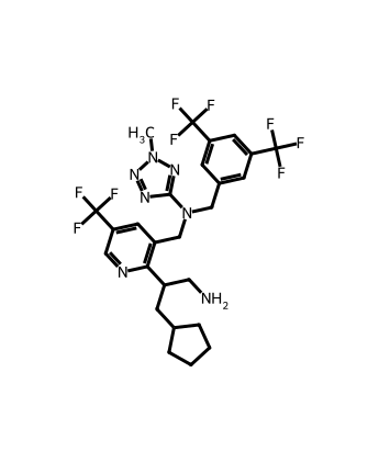 Cn1nnc(N(Cc2cc(C(F)(F)F)cc(C(F)(F)F)c2)Cc2cc(C(F)(F)F)cnc2C(CN)CC2CCCC2)n1